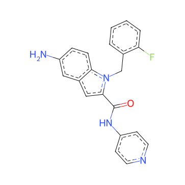 Nc1ccc2c(c1)cc(C(=O)Nc1ccncc1)n2Cc1ccccc1F